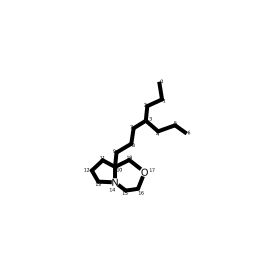 CCCC(CCC)CCCC12CCCN1CCOC2